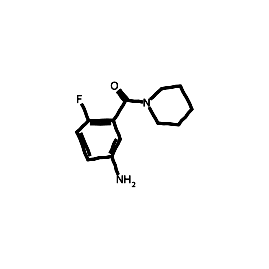 Nc1ccc(F)c(C(=O)N2CCCCC2)c1